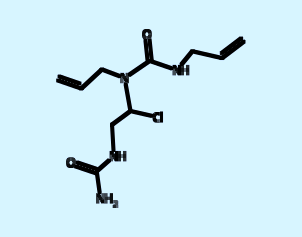 C=CCNC(=O)N(CC=C)C(Cl)CNC(N)=O